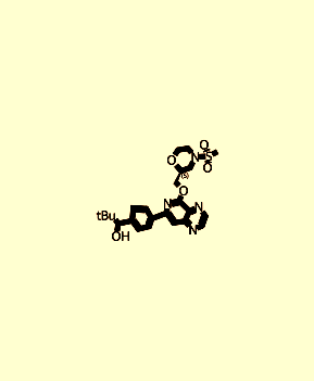 CC(C)(C)C(O)c1ccc(-c2cc3nccnc3c(OC[C@@H]3CN(S(C)(=O)=O)CCO3)n2)cc1